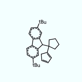 CC(C)(C)c1ccc2c(c1)C(C1(C3=CC=CC3)CCCC1)c1cc(C(C)(C)C)ccc1-2